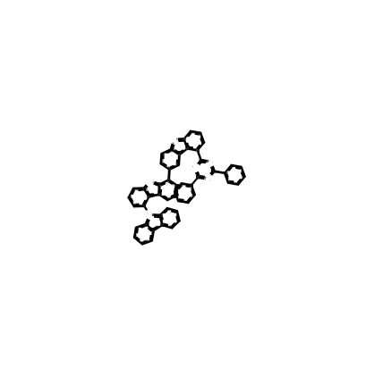 c1ccc(-c2nc(-c3ccccc3)nc(-c3cccc4oc5ccc(-c6cccc7c6oc6cccc(-n8c9ccccc9c9ccccc98)c67)cc5c34)n2)cc1